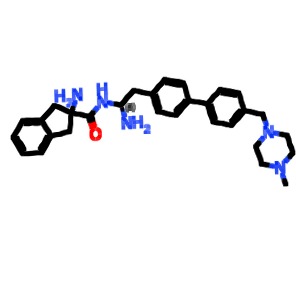 CN1CCN(Cc2ccc(-c3ccc(C[C@@H](N)NC(=O)C4(N)Cc5ccccc5C4)cc3)cc2)CC1